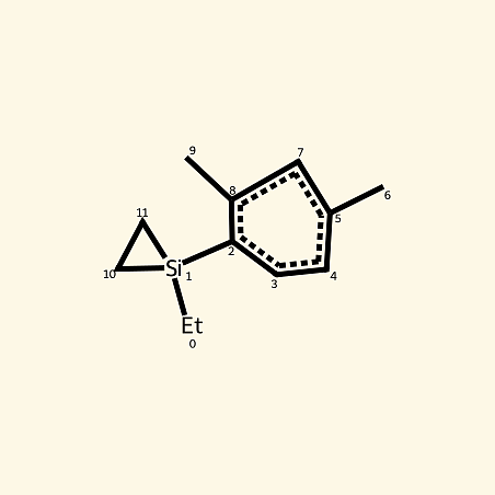 CC[Si]1(c2ccc(C)cc2C)CC1